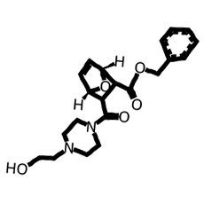 O=C(OCc1ccccc1)C1C(C(=O)N2CCN(CCO)CC2)[C@@H]2C=C[C@H]1O2